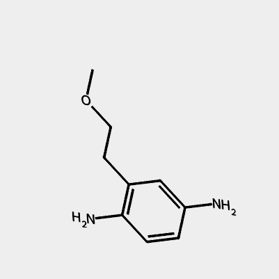 COCCc1cc(N)ccc1N